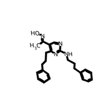 C/C(=N\O)c1cnc(NCCCc2ccccc2)nc1CCCc1ccccc1